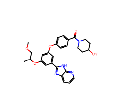 COC[C@H](C)Oc1cc(Oc2ccc(C(=O)N3CCC(O)CC3)cc2)cc(-c2nc3cccnc3[nH]2)c1